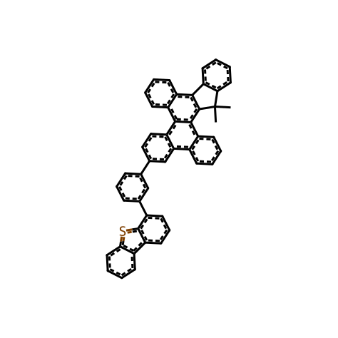 CC1(C)c2ccccc2-c2c1c1c3ccccc3c3cc(-c4cccc(-c5cccc6c5sc5ccccc56)c4)ccc3c1c1ccccc21